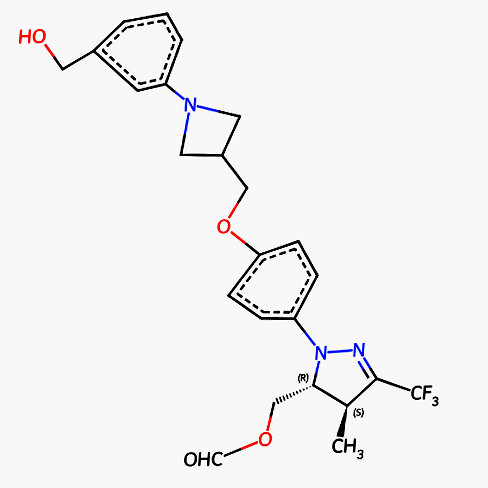 C[C@@H]1C(C(F)(F)F)=NN(c2ccc(OCC3CN(c4cccc(CO)c4)C3)cc2)[C@H]1COC=O